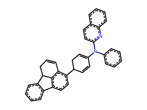 C1=Cc2c(C3C=CC(N(c4ccccc4)c4ccc5ccccc5n4)=CC3)ccc3c2C(C1)c1ccccc1-3